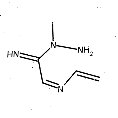 C=C/N=C\C(=N)N(C)N